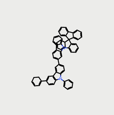 C1=CCCC(c2ccc3c(c2)c2cc(-c4ccc5c6ccccc6n(-c6ccccc6C6(C7C=CC=CC7)c7ccccc7-c7ccccc76)c5c4)ccc2n3-c2ccccc2)=C1